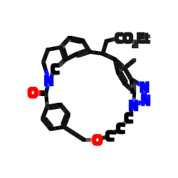 CCOC(=O)CC1c2ccc3c(c2)CN(CC3)C(=O)c2ccc(cc2)COCCCn2nnc3c(C)c1ccc32